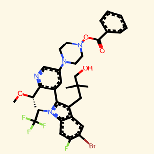 CO[C@@H](C)c1ncc(N2CCN(OC(=O)c3ccccc3)CC2)cc1-c1c(CC(C)(C)CO)c2cc(Br)c(F)cc2n1CC(F)(F)F